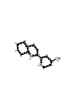 N#Cc1ccnc(-c2ccc3c[c]ccc3n2)c1